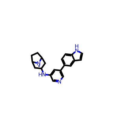 CN1C2CCC1CC(Nc1cncc(-c3ccc4[nH]ccc4c3)c1)C2